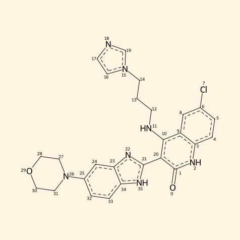 O=c1[nH]c2ccc(Cl)cc2c(NCCCn2ccnc2)c1-c1nc2cc(N3CCOCC3)ccc2[nH]1